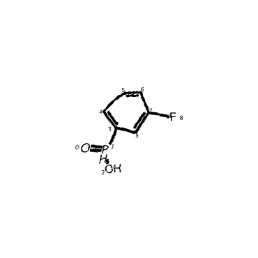 O=[PH](O)c1cccc(F)c1